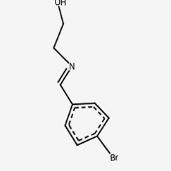 OCCN=Cc1ccc(Br)cc1